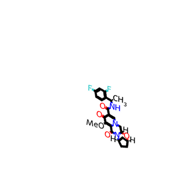 COc1c2n(cc(C(=O)N[C@H](C)c3ccc(F)cc3F)c1=O)C[C@@H]1O[C@H]3CC[C@H](C3)N1C2=O